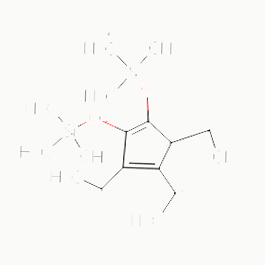 CCC1=C(CC)C(CC)C(O[Si](C)(C)C)=C1O[Si](C)(C)C